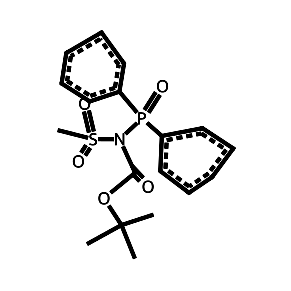 CC(C)(C)OC(=O)N(P(=O)(c1ccccc1)c1ccccc1)S(C)(=O)=O